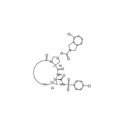 O=C1N[C@]2(C(=O)NS(=O)(=O)c3ccc(Cl)cc3)C[C@H]2/C=C\CCCCCCC(=O)N2C[C@H](OC(=O)N3Cc4cccc(Cl)c4C3)C[C@@H]12